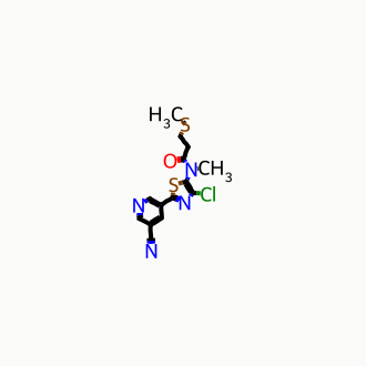 CSCCC(=O)N(C)c1sc(-c2cncc(C#N)c2)nc1Cl